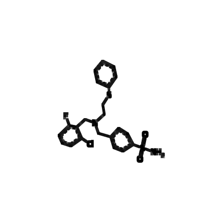 NS(=O)(=O)c1ccc(CN(CCSc2ccccc2)Cc2c(F)cccc2Cl)cc1